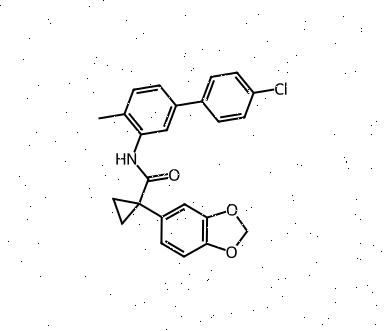 Cc1ccc(-c2ccc(Cl)cc2)cc1NC(=O)C1(c2ccc3c(c2)OCO3)CC1